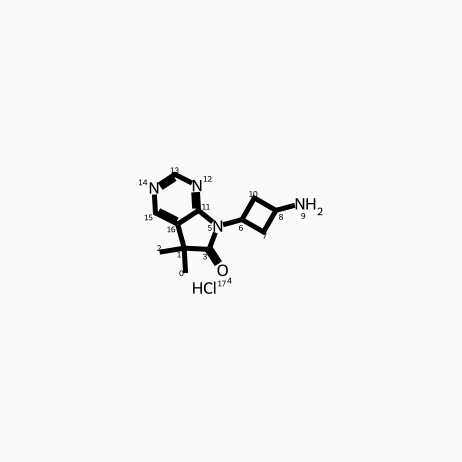 CC1(C)C(=O)N(C2CC(N)C2)c2ncncc21.Cl